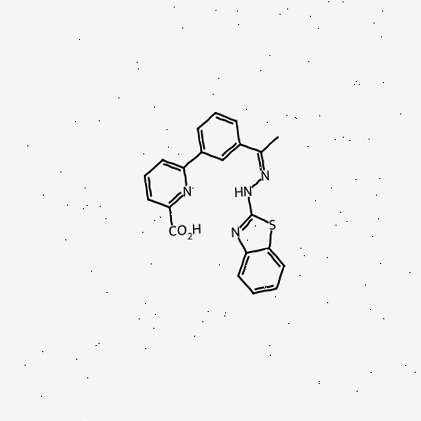 CC(=NNc1nc2ccccc2s1)c1cccc(-c2cccc(C(=O)O)n2)c1